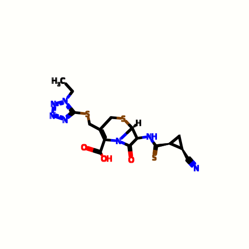 CCn1nnnc1SCC1=C(C(=O)O)N2C(=O)C(NC(=S)[C@H]3C[C@H]3C#N)[C@@H]2SC1